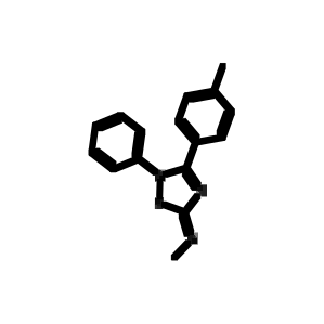 CN=c1nc(-c2ccc(C)cc2)n(-c2ccccc2)s1